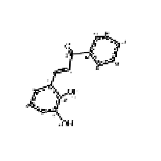 O=C(C=Cc1cccc(O)c1O)c1ccccc1